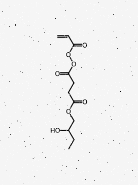 C=CC(=O)OOC(=O)CCC(=O)OCC(O)CC